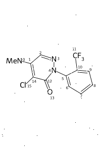 CNc1cnn(-c2ccccc2C(F)(F)F)c(=O)c1Cl